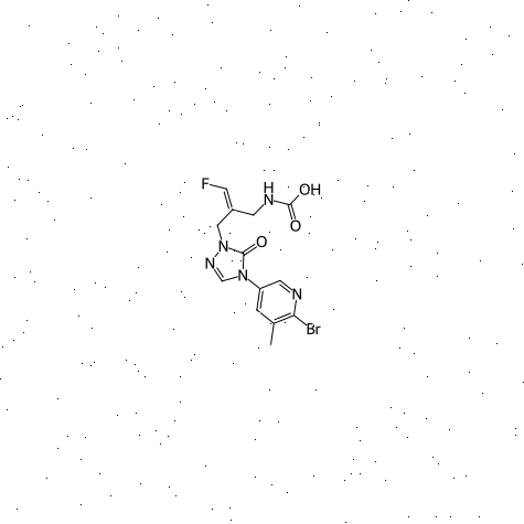 Cc1cc(-n2cnn(C/C(=C\F)CNC(=O)O)c2=O)cnc1Br